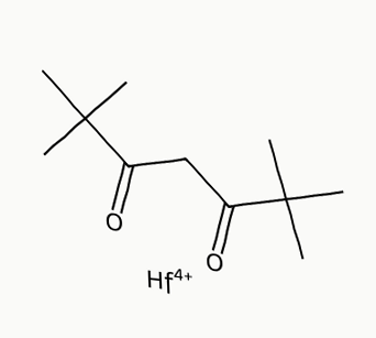 CC(C)(C)C(=O)CC(=O)C(C)(C)C.[Hf+4]